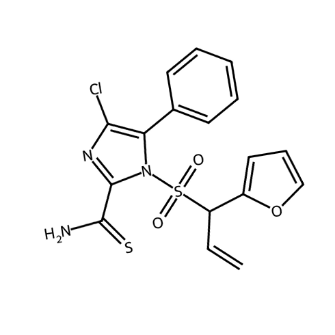 C=CC(c1ccco1)S(=O)(=O)n1c(C(N)=S)nc(Cl)c1-c1ccccc1